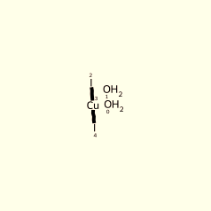 O.O.[I][Cu][I]